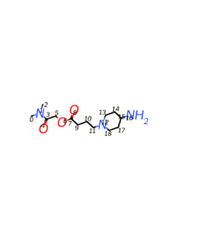 CN(C)C(=O)COC(=O)CCCN1CCC(N)CC1